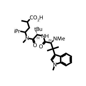 CN[C@H](C(=O)N[C@H](C(=O)N(C)C(CC(C)C(=O)O)C(C)C)C(C)(C)C)C(C)(C)c1cn(C)c2ccccc12